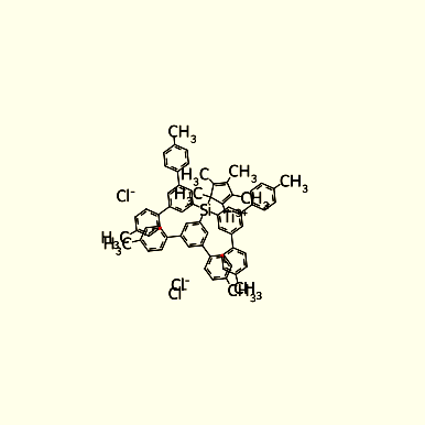 CC1=C(C)C(C)([Si](c2cc(-c3ccc(C)cc3)cc(-c3ccc(C)cc3)c2)(c2cc(-c3ccc(C)cc3)cc(-c3ccc(C)cc3)c2)c2cc(-c3ccc(C)cc3)cc(-c3ccc(C)cc3)c2)[C]([Ti+3])=C1C.[Cl-].[Cl-].[Cl-]